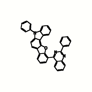 c1ccc(-c2nc(-c3cccc4c3oc3c4ccc4c3c3ccccc3n4-c3ccccc3)c3ccccc3n2)cc1